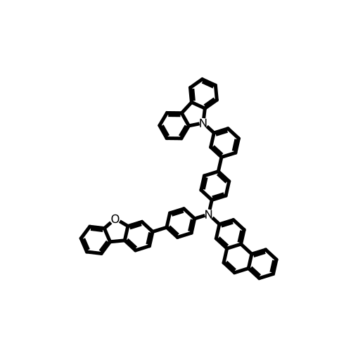 c1cc(-c2ccc(N(c3ccc(-c4ccc5c(c4)oc4ccccc45)cc3)c3ccc4c(ccc5ccccc54)c3)cc2)cc(-n2c3ccccc3c3ccccc32)c1